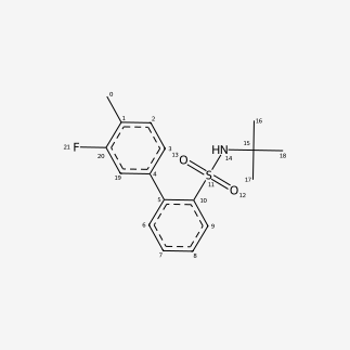 Cc1ccc(-c2ccccc2S(=O)(=O)NC(C)(C)C)cc1F